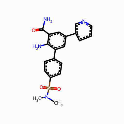 CN(C)S(=O)(=O)c1ccc(-c2cc(-c3cccnc3)cc(C(N)=O)c2N)cc1